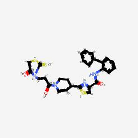 O=C(Nc1ccccc1-c1ccccc1)c1csc(C2CCN(C(=O)CCN3C(=O)CSC3=S)CC2)n1